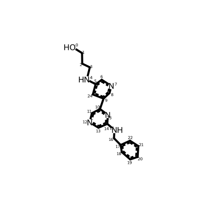 OCCCNc1cncc(-c2cncc(NCc3ccccc3)n2)c1